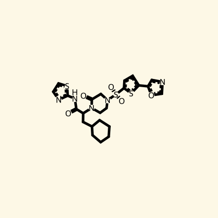 O=C(Nc1nccs1)C(CC1CCCCC1)N1CCN(S(=O)(=O)c2ccc(-c3cnco3)s2)CC1=O